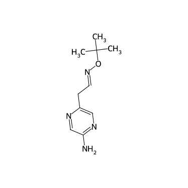 CC(C)(C)ON=CCc1cnc(N)cn1